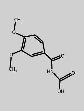 COc1ccc(C(=O)NC(=O)O)cc1OC